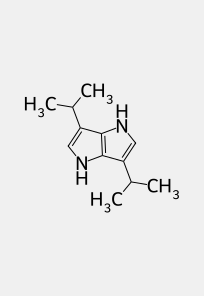 CC(C)c1c[nH]c2c(C(C)C)c[nH]c12